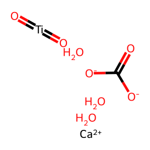 O.O.O.O=C([O-])[O-].[Ca+2].[O]=[Ti]=[O]